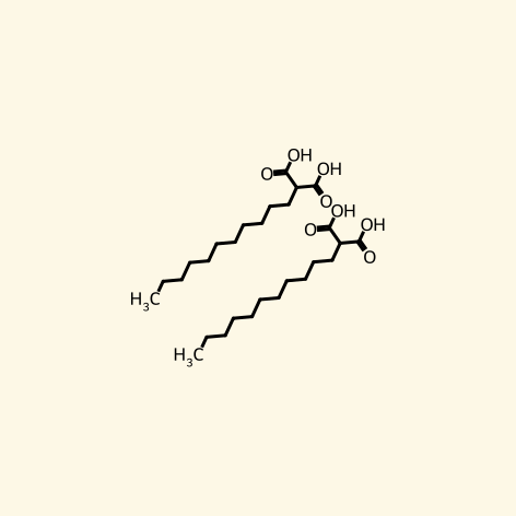 CCCCCCCCCCCC(C(=O)O)C(=O)O.CCCCCCCCCCCC(C(=O)O)C(=O)O